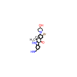 CC1(C)c2cc(N3CCC(O)CC3)c(Br)cc2C(=O)c2c1[nH]c1cc(C=N)ccc21